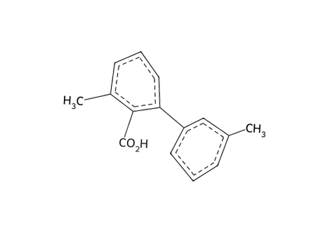 Cc1cccc(-c2cccc(C)c2C(=O)O)c1